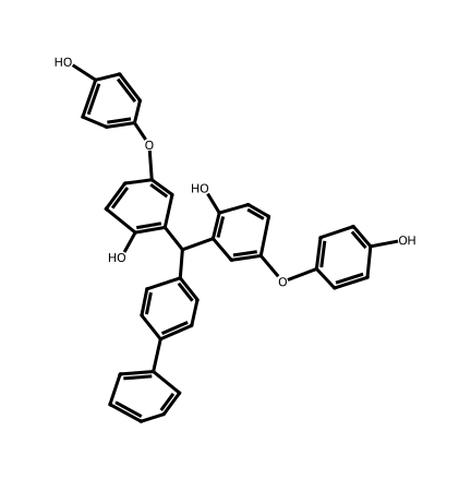 Oc1ccc(Oc2ccc(O)c(C(c3ccc(-c4ccccc4)cc3)c3cc(Oc4ccc(O)cc4)ccc3O)c2)cc1